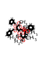 CCC1(C(=O)OC)O[C@@H](O[C@@H]2C(COCc3ccccc3)O[C@H](OC)C(OCc3ccccc3)[C@@H]2OCc2ccccc2)C(OC)[C@@H](OC)[C@@H]1C